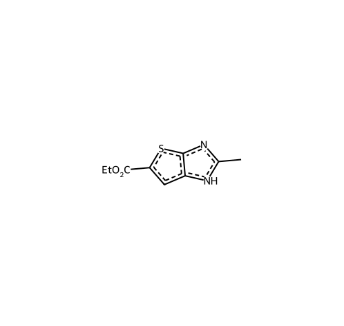 CCOC(=O)c1cc2[nH]c(C)nc2s1